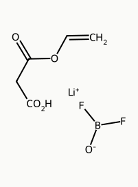 C=COC(=O)CC(=O)O.[Li+].[O-]B(F)F